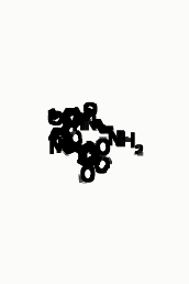 COc1ccc(C(=O)NCCCN)cc1-c1ccnc2cc(-c3cc(OC)c(OC)c(OC)c3)oc12